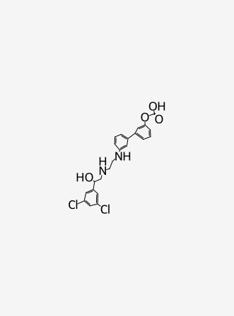 O=C(O)Oc1cccc(-c2cccc(NCCNC[C@H](O)c3cc(Cl)cc(Cl)c3)c2)c1